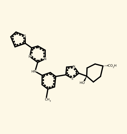 Cc1cc(Nc2nccc(-c3cccs3)n2)cc(-c2cnc([C@]3(O)CC[C@H](C(=O)O)CC3)s2)c1